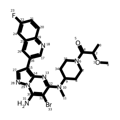 COC(C)C(=O)N1CCC(N(C)c2nc3c(-c4cnc5ccc(F)cc5c4)cnn3c(N)c2Br)CC1